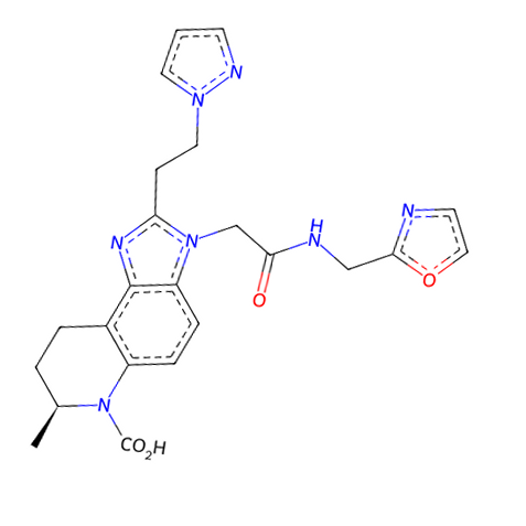 C[C@H]1CCc2c(ccc3c2nc(CCn2cccn2)n3CC(=O)NCc2ncco2)N1C(=O)O